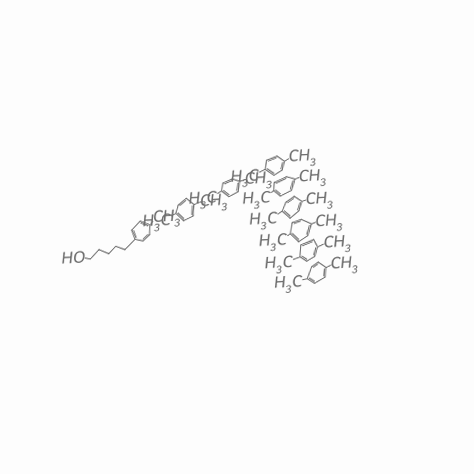 Cc1ccc(C)cc1.Cc1ccc(C)cc1.Cc1ccc(C)cc1.Cc1ccc(C)cc1.Cc1ccc(C)cc1.Cc1ccc(C)cc1.Cc1ccc(C)cc1.Cc1ccc(C)cc1.Cc1ccc(CCCCCO)cc1